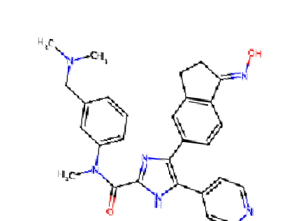 CN(C)Cc1cccc(N(C)C(=O)c2nc(-c3ccc4c(c3)CCC4=NO)c(-c3ccncc3)[nH]2)c1